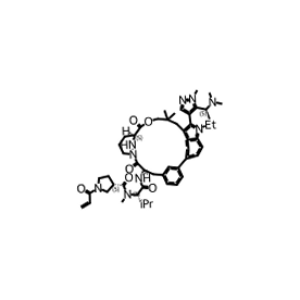 C=CC(=O)N1CC[C@H](C(=O)N(C)[C@H](C(=O)N[C@H]2Cc3cccc(c3)-c3ccc4c(c3)c(c(-c3cnn(C)c3[C@H](C)N(C)C)n4CC)CC(C)(C)COC(=O)[C@@H]3CCCN(N3)C2=O)C(C)C)C1